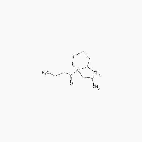 CCCC(=O)C1(COC)CCCCC1C